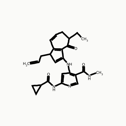 C=CCC1C=C(Nc2cc(NC(=O)C3CC3)ncc2C(=O)NC)C2=C1C=CCC(CC)C2=O